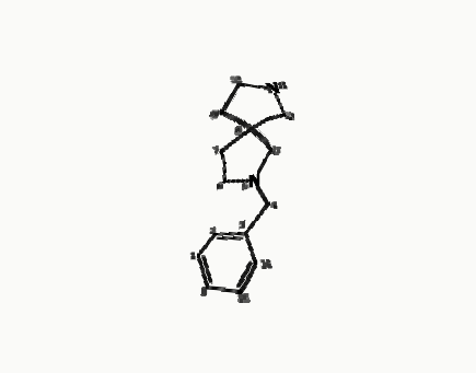 c1ccc(CN2CCC3(CC[N]C3)C2)cc1